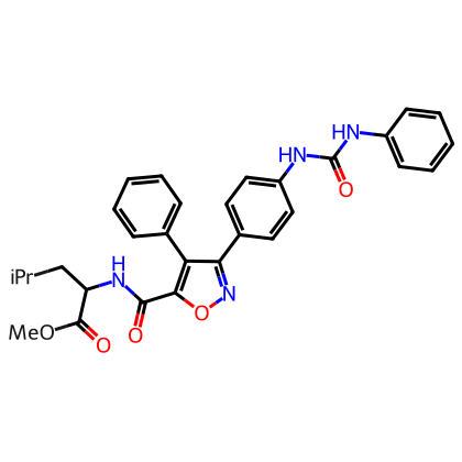 COC(=O)C(CC(C)C)NC(=O)c1onc(-c2ccc(NC(=O)Nc3ccccc3)cc2)c1-c1ccccc1